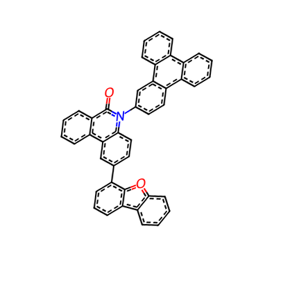 O=c1c2ccccc2c2cc(-c3cccc4c3oc3ccccc34)ccc2n1-c1ccc2c3ccccc3c3ccccc3c2c1